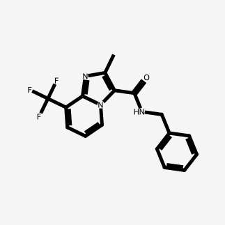 Cc1nc2c(C(F)(F)F)cccn2c1C(=O)NCc1ccccc1